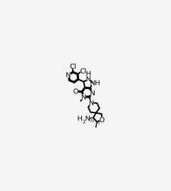 C[C@@H]1OCC2(CCN(c3nc4c(c(=O)n3C)C(c3ccnc(Cl)c3Cl)NN4)CC2)[C@@H]1N